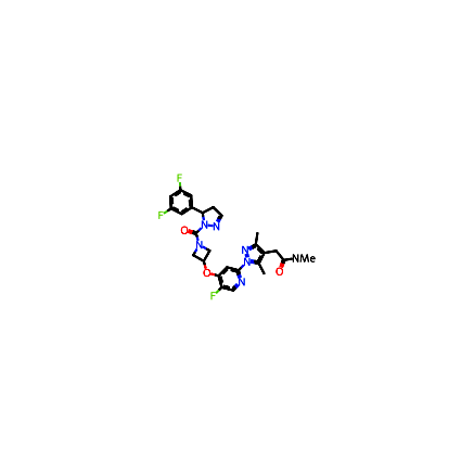 CNC(=O)Cc1c(C)nn(-c2cc(OC3CN(C(=O)N4N=CCC4c4cc(F)cc(F)c4)C3)c(F)cn2)c1C